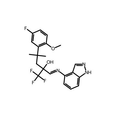 COc1ccc(F)cc1C(C)(C)CC(O)(C=Nc1cccc2[nH]ncc12)C(F)(F)F